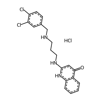 Cl.O=c1cc(NCCCNCc2ccc(Cl)c(Cl)c2)[nH]c2ccccc12